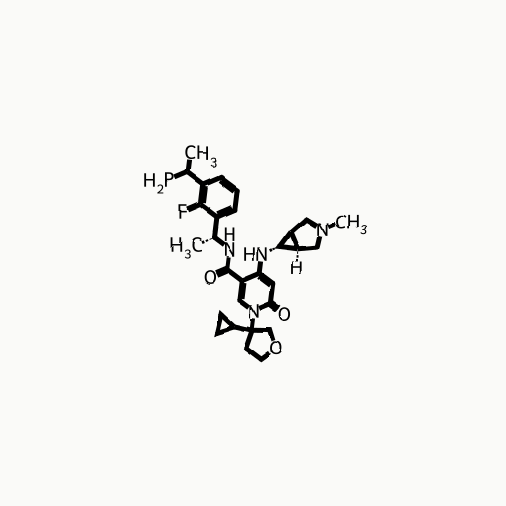 CC(P)c1cccc([C@@H](C)NC(=O)c2cn(C3(C4CC4)CCOC3)c(=O)cc2N[C@@H]2C3CN(C)C[C@H]32)c1F